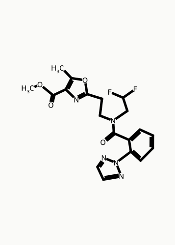 COC(=O)c1nc(CCN(CC(F)F)C(=O)c2ccccc2-n2nccn2)oc1C